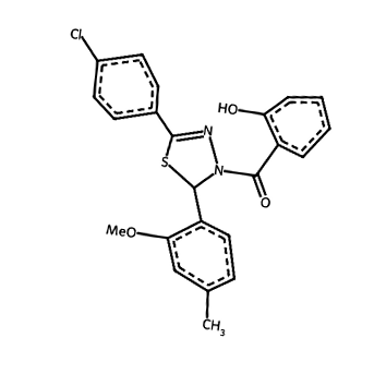 COc1cc(C)ccc1C1SC(c2ccc(Cl)cc2)=NN1C(=O)c1ccccc1O